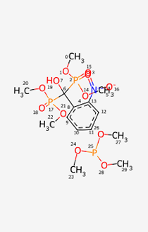 COP(=O)(OC)C(O)(c1ccccc1[N+](=O)[O-])P(=O)(OC)OC.COP(OC)OC